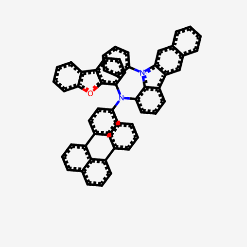 c1ccc(-c2cccc3cccc(-c4ccc(N(c5cccc6c5oc5ccccc56)c5cccc6c7cc8ccccc8cc7n(-c7ccccc7)c56)cc4)c23)cc1